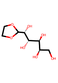 OC[C@@H](O)[C@H](O)[C@H](O)[C@@H](O)C1OCCO1